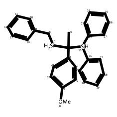 COc1ccc(C(C)([SiH2]Cc2ccccc2)[SiH](c2ccccc2)c2ccccc2)cc1